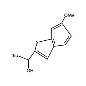 COc1ccc2cc(C(O)C(C)(C)C)sc2c1